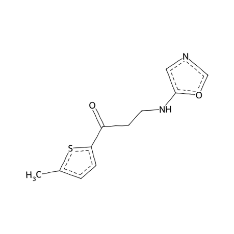 Cc1ccc(C(=O)CCNc2cnco2)s1